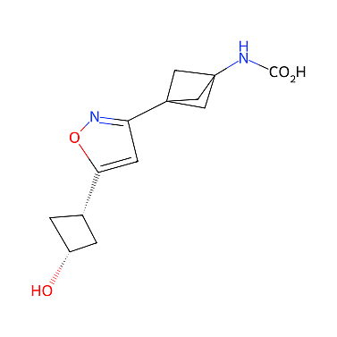 O=C(O)NC12CC(c3cc([C@H]4C[C@@H](O)C4)on3)(C1)C2